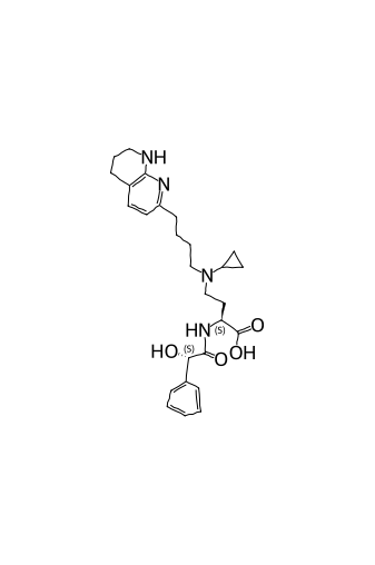 O=C(O)[C@H](CCN(CCCCc1ccc2c(n1)NCCC2)C1CC1)NC(=O)[C@@H](O)c1ccccc1